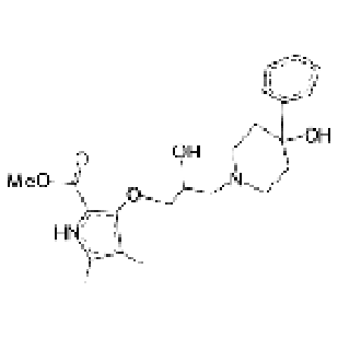 COC(=O)c1[nH]c(C)c(C)c1OCC(O)CN1CCC(O)(c2ccccc2)CC1